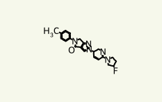 Cc1ccc(N2Cc3nn(C4C=CC(N5CCC(F)C5)=NC4)cc3C2=O)cc1